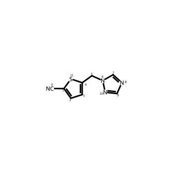 N#Cc1ccc(Cn2cncn2)s1